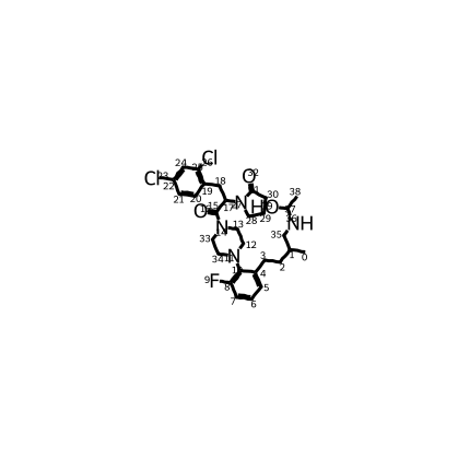 CC(CCc1cccc(F)c1N1CCN(C(=O)C(Cc2ccc(Cl)cc2Cl)N2CCCC2=O)CC1)CNC(C)O